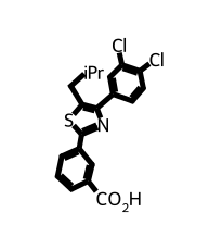 CC(C)Cc1sc(-c2cccc(C(=O)O)c2)nc1-c1ccc(Cl)c(Cl)c1